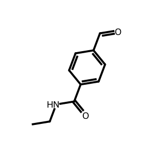 CCNC(=O)c1ccc(C=O)cc1